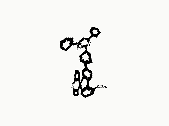 N#Cc1cccc2c1-c1ccc(-c3ccc(-c4nc(-c5ccccc5)cc(-c5ccccc5)n4)cc3)cc1C21c2ccccc2Sc2ccccc21